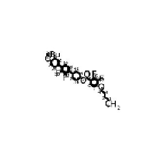 C=CCCCOc1ccc(C(=O)OC2CCC(c3ccc(C4CCC(OCCCC)CC4)c(F)c3F)CC2)c(F)c1F